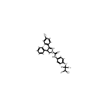 O=C(Nc1ccc(OC(F)(F)C(F)Cl)cc1)N1CC(c2ccccc2)C(c2ccc(Cl)cc2)=N1